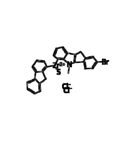 Cn1c2c(c3ccc[c]([Zr+2](=[S])[c]4cccc5c4Cc4ccccc4-5)c31)Cc1cc(Br)ccc1-2.[Cl-].[Cl-]